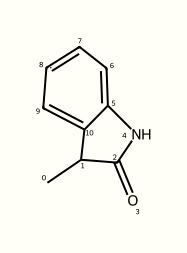 CC1C(=O)Nc2cc[c]cc21